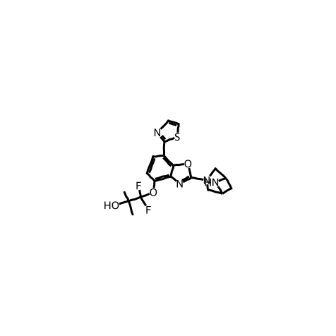 CC(C)(O)C(F)(F)Oc1ccc(-c2nccs2)c2oc(N3CC4CC(C3)N4)nc12